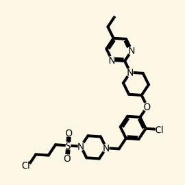 CCc1cnc(N2CCC(Oc3ccc(CN4CCN(S(=O)(=O)CCCCl)CC4)cc3Cl)CC2)nc1